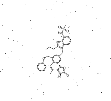 CCCc1nc2c(NS(C)(=O)=O)cccc2n1Cc1ccc2c(c1)COc1ccccc1/C2=C(\C)c1noc(=O)[nH]1